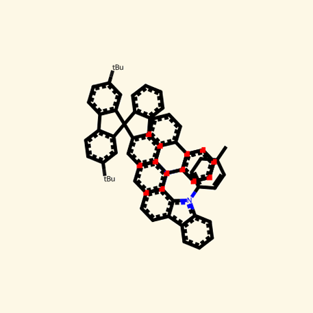 CC1C=CC(n2c3ccccc3c3cccc(N(c4ccc5c(c4)-c4ccccc4C54c5cc(C(C)(C)C)ccc5-c5ccc(C(C)(C)C)cc54)c4ccccc4-c4ccccc4-c4ccccc4-c4ccccc4)c32)=CC1